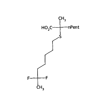 CCCCCC(C)(SCCCCCC(C)(F)F)C(=O)O